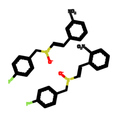 O=[N+]([O-])c1cccc(C=C[S+]([O-])Cc2ccc(F)cc2)c1.O=[N+]([O-])c1ccccc1/C=C/[S+]([O-])Cc1ccc(F)cc1